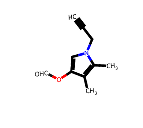 C#CCn1cc(OC=O)c(C)c1C